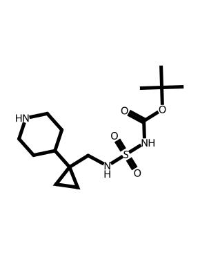 CC(C)(C)OC(=O)NS(=O)(=O)NCC1(C2CCNCC2)CC1